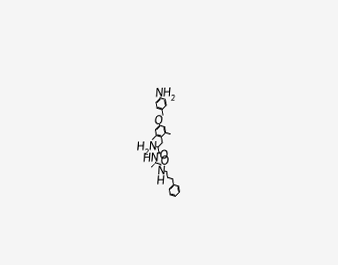 Cc1cc(OCc2ccc(N)cc2)cc(C)c1C[C@H](N)C(=O)N[C@H](C)C(=O)NCCCc1ccccc1